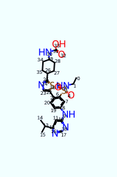 CCNS(=O)(=O)c1cc(Nc2cc(C(C)C)ncn2)ccc1-c1cnc(C2CCC(NC(=O)O)CC2)s1